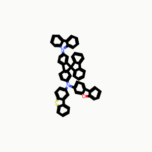 c1ccc2c(c1)-c1ccccc1C21c2cc(N(c3ccc4c(c3)oc3ccccc34)c3ccc4sc5ccccc5c4c3)ccc2-c2ccc(-n3c4ccccc4c4ccccc43)cc21